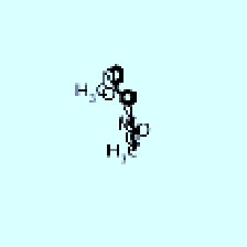 CCOC(=O)c1cn(-c2cccc(C(OC)c3ccccn3)c2)cn1